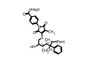 CCCCCCCC(=O)c1ccc(N2C(=O)C(C)=C(SCC(CCC)[C@@H](C)[C@H](C)C(C)(CC(C)CCC)c3ccccc3)C2=O)cc1